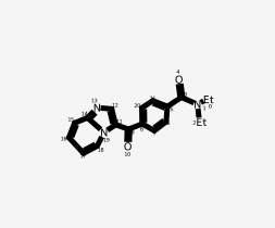 CCN(CC)C(=O)c1ccc(C(=O)c2cnc3ccccn23)cc1